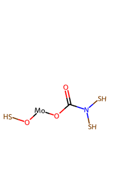 O=C([O][Mo][O]S)N(S)S